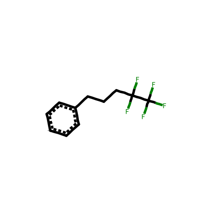 FC(F)(F)C(F)(F)CCCc1cc[c]cc1